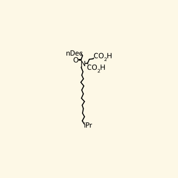 CCCCCCCCCCCC(=O)N(CCCCCCCCCCCCCCCC(C)C)[C@@H](CCC(=O)O)C(=O)O